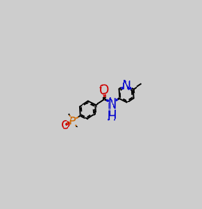 Cc1ccc(NC(=O)c2ccc(P(C)(C)=O)cc2)cn1